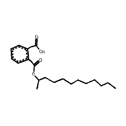 CCCCCCCCCCC(C)OC(=O)c1ccccc1C(=O)O